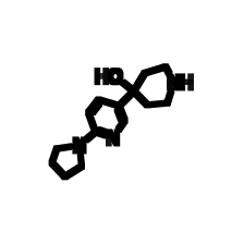 OC1(c2ccc(N3CCCC3)nc2)CCNCC1